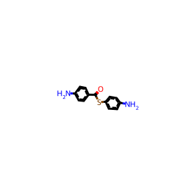 Nc1ccc(SC(=O)c2ccc(N)cc2)cc1